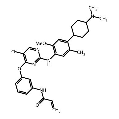 C=CC(=O)Nc1cccc(Oc2nc(Nc3cc(C)c(C4CCC(N(C)C)CC4)cc3OC)ncc2Cl)c1